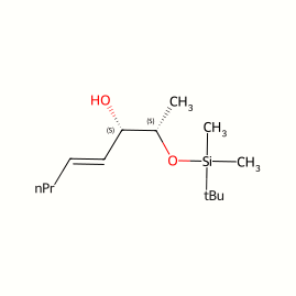 CCCC=C[C@H](O)[C@H](C)O[Si](C)(C)C(C)(C)C